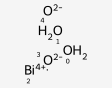 O.O.[Bi+4].[O-2].[O-2]